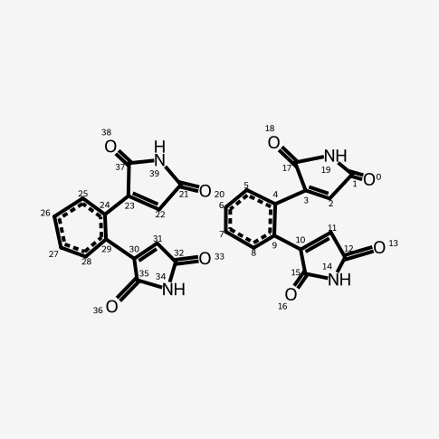 O=C1C=C(c2ccccc2C2=CC(=O)NC2=O)C(=O)N1.O=C1C=C(c2ccccc2C2=CC(=O)NC2=O)C(=O)N1